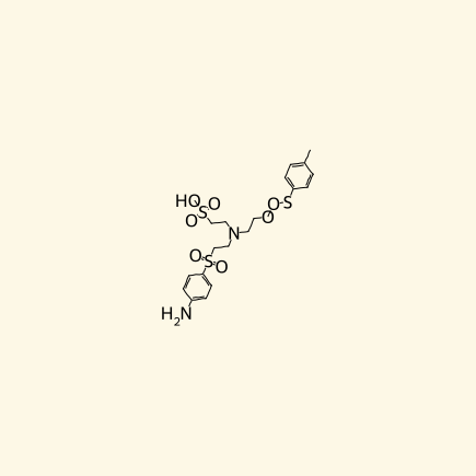 Cc1ccc(SOOCCN(CCS(=O)(=O)O)CCS(=O)(=O)c2ccc(N)cc2)cc1